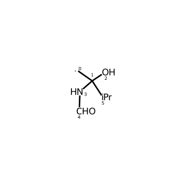 [CH2]C(O)(NC=O)C(C)C